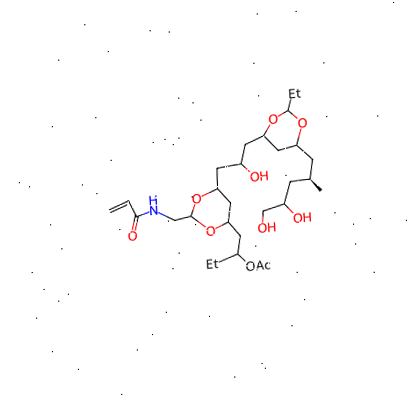 C=CC(=O)NCC1OC(CC(O)CC2CC(C[C@@H](C)CC(O)CO)OC(CC)O2)CC(CC(CC)OC(C)=O)O1